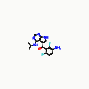 CC(C)Nc1ncnc2[nH]cc(C(=O)c3c(F)ccc(N)c3F)c12